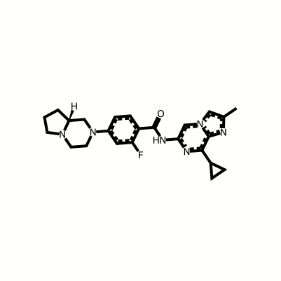 Cc1cn2cc(NC(=O)c3ccc(N4CCN5CCC[C@@H]5C4)cc3F)nc(C3CC3)c2n1